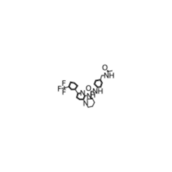 CC(=O)NCc1ccc(NC(=O)N2c3nc(-c4cccc(C(F)(F)F)c4)ccc3N3CCC[C@H]2C3)cc1